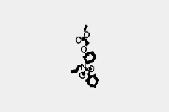 C=CCN(c1cccc(OCC(=O)OCC)c1)S(=O)(=O)c1ccccc1